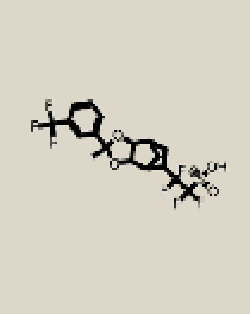 CC1(c2cccc(C(F)(F)F)c2)OC2C3CC(C2O1)C(C(F)(F)C(F)(F)S(=O)(=O)O)C3